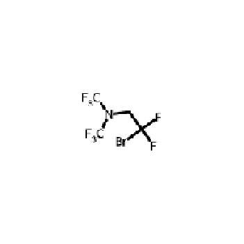 FC(F)(Br)CN(C(F)(F)F)C(F)(F)F